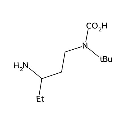 CCC(N)CCN(C(=O)O)C(C)(C)C